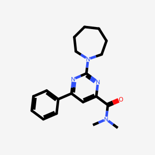 CN(C)C(=O)c1cc(-c2ccccc2)nc(N2CCCCCC2)n1